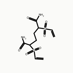 C=CS(=O)(=O)C(CCC(C(N)=O)S(=O)(=O)C=C)C(N)=O